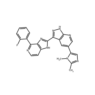 Cc1ncc(-c2cnc3[nH]nc(-c4nc5c(-c6ccccc6F)nccc5[nH]4)c3c2)n1C